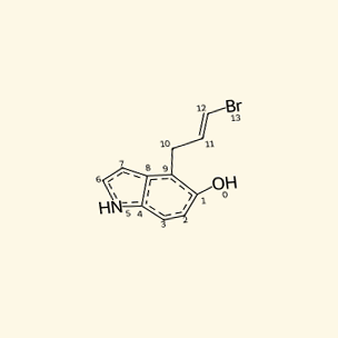 Oc1ccc2[nH]ccc2c1CC=CBr